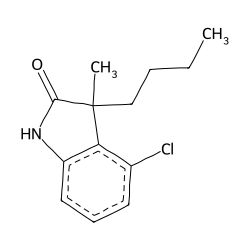 CCCCC1(C)C(=O)Nc2cccc(Cl)c21